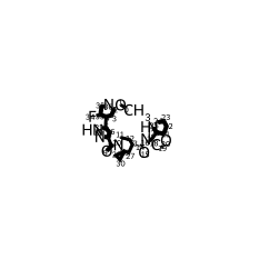 COc1cc(-c2cc(C(=O)N3CC[C@H](C(=O)N[C@@H]4CCOc5cccnc54)CC34CC4)n[nH]2)c(F)cn1